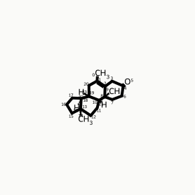 CC1=C2CC(=O)CC[C@]2(C)[C@@H]2CC[C@]3(C)CCC[C@H]3[C@@H]2C1